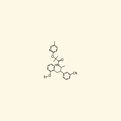 CCOc1ccccc1CC(c1cccc(C#N)c1)C(C)NC(=O)C(C)(C)Oc1ccc(C)cn1